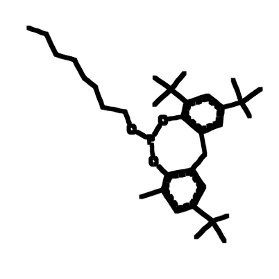 CCCCCCCCOP1Oc2c(C)cc(C(C)(C)C)cc2Cc2cc(C(C)(C)C)cc(C(C)(C)C)c2O1